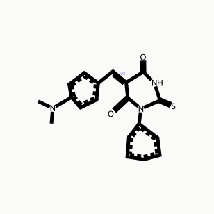 CN(C)c1ccc(/C=C2/C(=O)NC(=S)N(c3ccccc3)C2=O)cc1